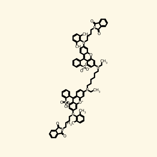 CCN(CCCCCCN(CC)c1ccc2c(-c3ccccc3S(=O)(=O)O)c3ccc(N(CCCCN4C(=O)c5ccccc5C4=O)c4c(C)cccc4C)cc3[o+]c2c1)c1ccc2c(c1)OC1C=C(N(CCCCN3C(=O)c4ccccc4C3=O)c3c(C)cccc3C)C=CC1=C2c1ccccc1S(=O)(=O)[O-]